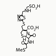 CSCC(=O)NC1C(=O)N2C(C(=O)O)=C(CSc3nnc(CNCS(=O)(=O)O)s3)CS[C@H]12